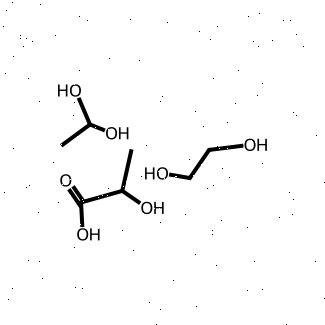 CC(O)C(=O)O.CC(O)O.OCCO